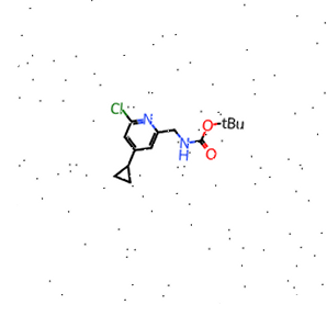 CC(C)(C)OC(=O)NCc1cc(C2CC2)cc(Cl)n1